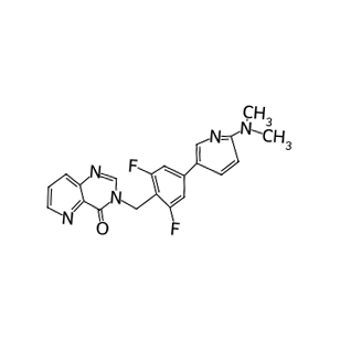 CN(C)c1ccc(-c2cc(F)c(Cn3cnc4cccnc4c3=O)c(F)c2)cn1